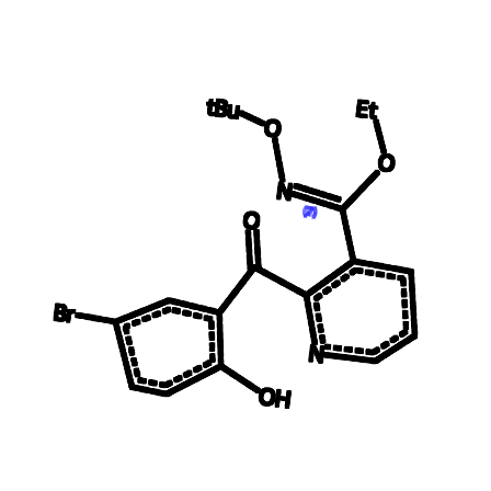 CCO/C(=N\OC(C)(C)C)c1cccnc1C(=O)c1cc(Br)ccc1O